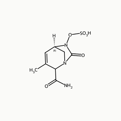 CC1=C[C@@H]2CN(C(=O)N2OS(=O)(=O)O)C1C(N)=O